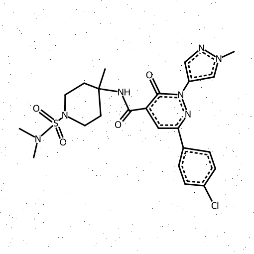 CN(C)S(=O)(=O)N1CCC(C)(NC(=O)c2cc(-c3ccc(Cl)cc3)nn(-c3cnn(C)c3)c2=O)CC1